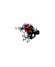 CCC1(O)CC2CN(CCc3c([nH]c4ccccc34)C(C(=O)OC)C2c2cc3c(cc2OC)N(C)C2C34CCN3CC=C[C@](CC)(C34)[C@@H](O)[C@]2(O)C(=O)NCCCO)C1